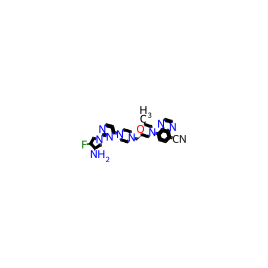 C[C@@H]1CN(c2ccc(C#N)c3nccnc23)C[C@H](CN2CCN(c3ccnc(N4C[C@H](N)[C@@H](F)C4)n3)CC2)O1